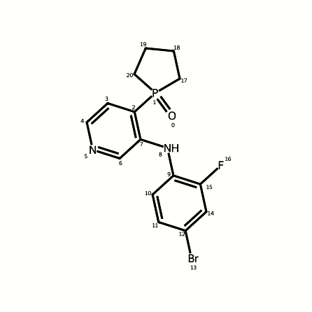 O=P1(c2ccncc2Nc2ccc(Br)cc2F)CCCC1